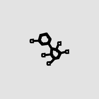 Clc1cccc(-c2c(Cl)c(Cl)cc(Cl)c2Cl)c1